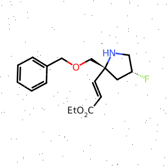 CCOC(=O)/C=C/[C@@]1(COCc2ccccc2)C[C@@H](F)CN1